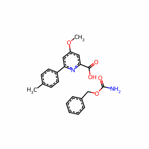 COc1cc(C(=O)O)nc(-c2ccc(C)cc2)c1.NC(=O)OCc1ccccc1